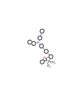 CC1(C)c2cccc(-c3ccc(-c4ccc(N(c5ccc(-c6ccccc6)cc5)c5ccc6ccccc6c5)cc4)cc3)c2-c2oc3ccccc3c21